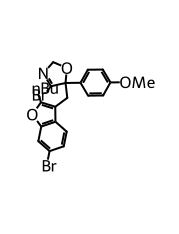 CCCCc1oc2cc(Br)ccc2c1CC1(c2ccc(OC)cc2)OCN=C1Br